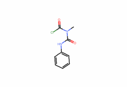 CN(C(=O)Cl)C(=O)Nc1ccccc1